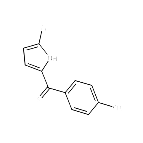 Cc1ccc(C(=S)c2ccc(Cl)[nH]2)cc1